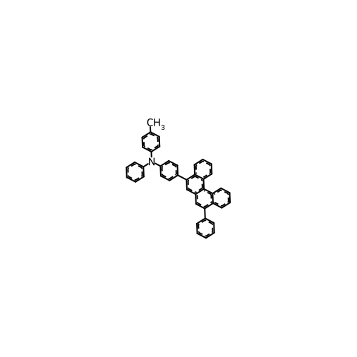 Cc1ccc(N(c2ccccc2)c2ccc(-c3cc4cc(-c5ccccc5)c5ccccc5c4c4ccccc34)cc2)cc1